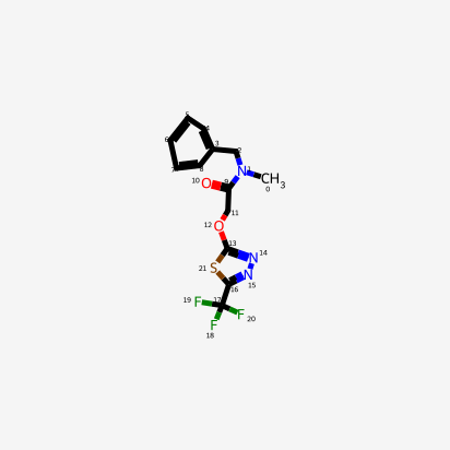 CN(Cc1ccccc1)C(=O)COc1nnc(C(F)(F)F)s1